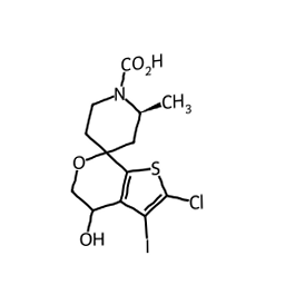 C[C@H]1CC2(CCN1C(=O)O)OCC(O)c1c2sc(Cl)c1I